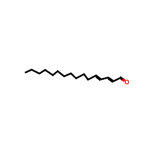 CCCCCCCCCCCC=CC=C[C]=O